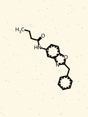 CCCC(=O)Nc1ccc2oc(Cc3ccccc3)nc2c1